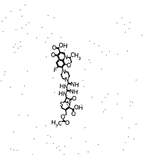 CC(=O)OCC1=C(C(=O)O)N2C(=O)C(NC(=N)NC(=N)N3CCN(c4c(F)cc5c(=O)c(C(=O)O)cn6c5c4OCC6C)CC3)C2SC1